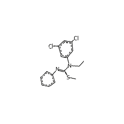 CCN(C(=Nc1ccccc1)SC)c1cc(Cl)cc(Cl)c1